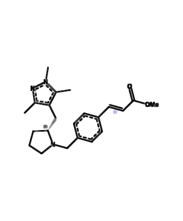 COC(=O)/C=C/c1ccc(CN2CCC[C@@H]2Cc2c(C)nn(C)c2C)cc1